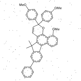 COc1ccc(C2(c3ccc(OC)cc3)C=Cc3c4c(c5cccc(OC)c5c3O2)-c2ccc(-c3ccccc3)cc2C4(C)C)cc1